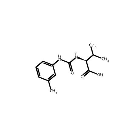 Cc1cccc(NC(=O)N[C@H](C(=O)O)C(C)C)c1